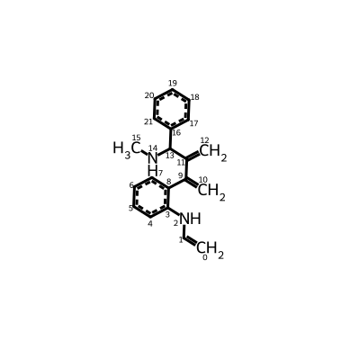 C=CNc1ccccc1C(=C)C(=C)C(NC)c1ccccc1